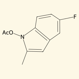 CC(=O)On1c(C)cc2cc(F)ccc21